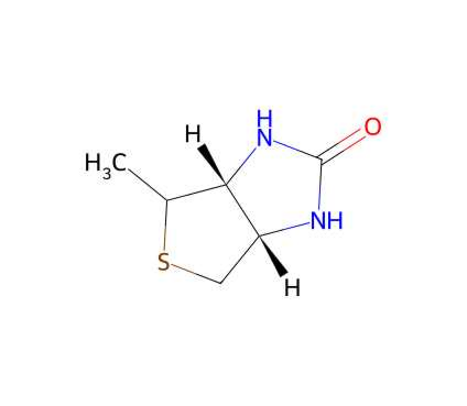 CC1SC[C@H]2NC(=O)N[C@@H]12